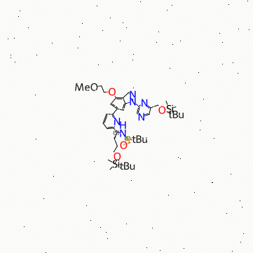 COCCOc1cc(-c2cccc([C@H](CCCO[Si](C)(C)C(C)(C)C)N[S@+]([O-])C(C)(C)C)n2)cc2c1cnn2-c1cncc(CO[Si](C)(C)C(C)(C)C)n1